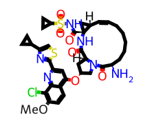 COc1ccc2c(O[C@@H]3C[C@H]4C(=O)N[C@]5(C(=O)NS(=O)(=O)C6CC6)C[C@H]5/C=C\CCCCC[C@H](N)C(=O)N4C3)cc(-c3nc(C4CC4)cs3)nc2c1Cl